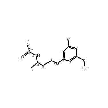 Cc1[c]c(CO)cc(OCCC(C)N[SH](=O)=O)c1